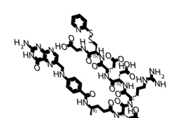 C[C@H](CCC(=O)N[C@@H](CC(=O)O)C(=O)N[C@@H](CCCNC(=N)N)C(=O)N[C@@H](CC(=O)O)C(=O)N[C@@H](CC(=O)O)C(=O)N[C@H](CSSc1ccccn1)C(=O)NCC(=O)O)NC(=O)c1ccc(NCc2cnc3nc(N)[nH]c(=O)c3n2)cc1